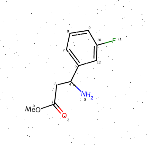 COC(=O)CC(N)c1cccc(F)c1